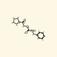 O=C(NCc1ccccc1)OCC(=O)N1CCCC1